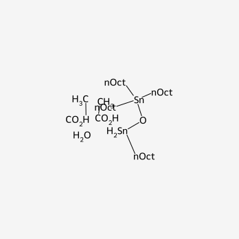 CC(=O)O.CC(=O)O.CCCCCCC[CH2][SnH2][O][Sn]([CH2]CCCCCCC)([CH2]CCCCCCC)[CH2]CCCCCCC.O